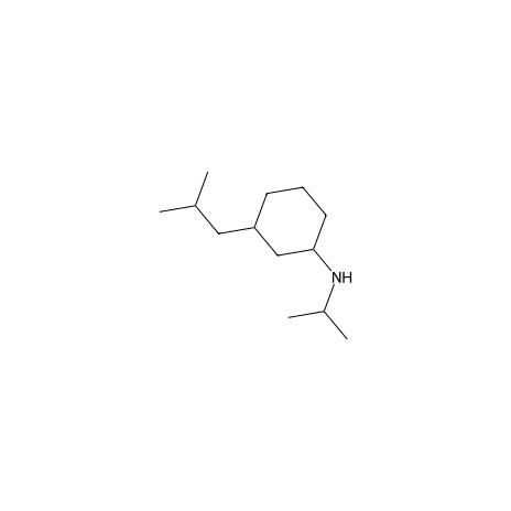 CC(C)CC1CCCC(NC(C)C)C1